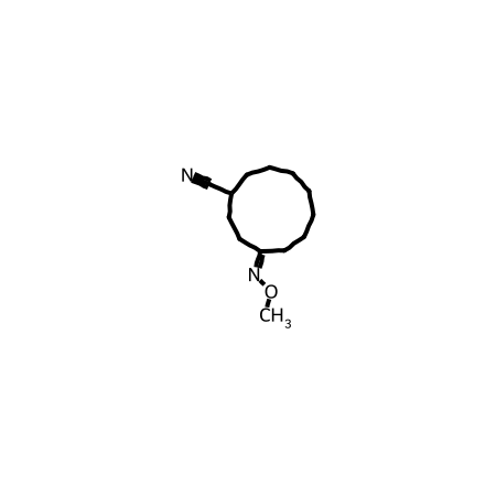 CO/N=C1\CCCCCCCC(C#N)CC1